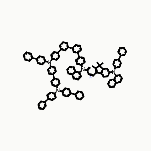 C=C(/C=C\C1=C(C)C(C)(C)c2cc(N(c3ccc(-c4ccccc4)cc3)c3cccc4ccccc34)ccc21)N(c1ccc(-c2cccc(-c3cccc(-c4ccc(N(c5ccc(-c6ccccc6)cc5)c5ccc(-c6ccc(N(c7ccc(-c8ccccc8)cc7)c7ccc(-c8ccccc8)cc7)cc6)cc5)cc4)c3)c2)cc1)c1cccc2ccccc12